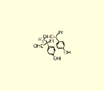 CC(C)C(C=O)c1ccc(O)cc1.CCC(C)(C=O)c1ccc(O)cc1